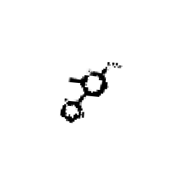 CSc1ccc(-c2nccs2)c(C)n1